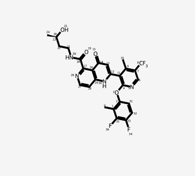 Cc1c(Oc2ncc(C(F)(F)F)c(C)c2-c2cc(=O)c3c(C(=O)NCC[C@@H](C)O)nccc3[nH]2)ccc(F)c1F